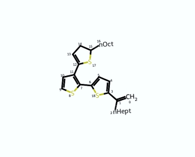 C=C(CCCCCCC)c1ccc(-c2sccc2C2=CCC(CCCCCCCC)S2)s1